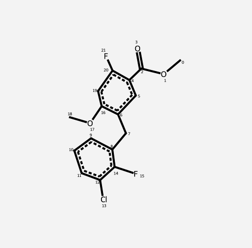 COC(=O)c1cc(Cc2cccc(Cl)c2F)c(OC)cc1F